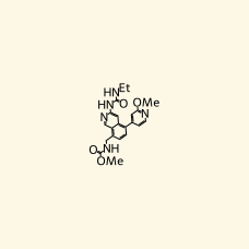 CCNC(=O)Nc1cc2c(-c3ccnc(OC)c3)ccc(CNC(=O)OC)c2cn1